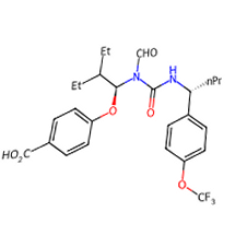 CCC[C@@H](NC(=O)N(C=O)[C@@H](Oc1ccc(C(=O)O)cc1)C(CC)CC)c1ccc(OC(F)(F)F)cc1